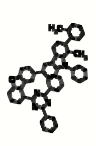 Cc1ccccc1-c1ccc2c3cc(-c4ccc5oc6cccc(-c7nc(-c8ccccc8)nc(-c8ccccc8)n7)c6c5c4)ccc3n(-c3ccccc3)c2c1C